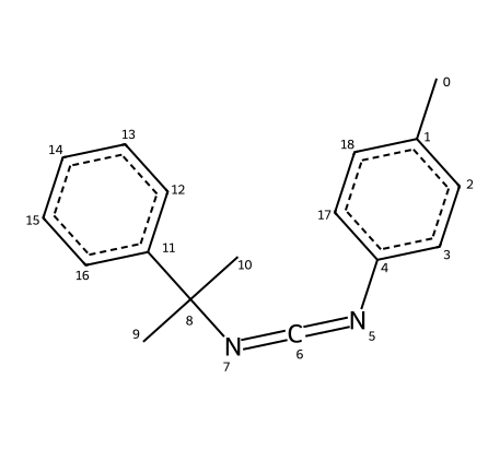 Cc1ccc(N=C=NC(C)(C)c2ccccc2)cc1